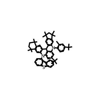 Cc1cc(C(C)(C)C)ccc1N1c2cc3c(cc2C2c4cc5c(cc4N(c4cccc6sc7ccccc7c46)c4cc(C(C)(C)C)cc1c42)C(C)(C)CCC5(C)C)C(C)(C)CC3(C)C